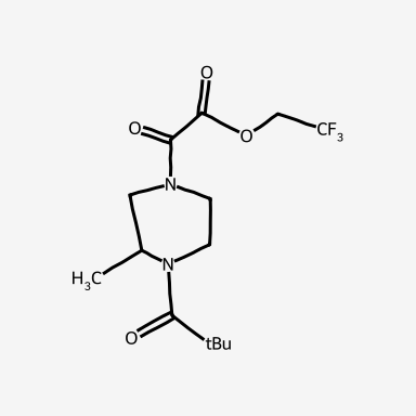 CC1CN(C(=O)C(=O)OCC(F)(F)F)CCN1C(=O)C(C)(C)C